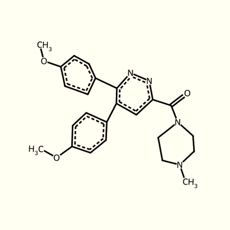 COc1ccc(-c2cc(C(=O)N3CCN(C)CC3)nnc2-c2ccc(OC)cc2)cc1